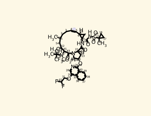 C[C@H]1CC/C=C\[C@@H]2C[C@@]2(C(=O)NS(=O)(=O)C2(C)CC2)NC(=O)[C@@H]2C[C@@H](Oc3ncc(OCC(F)F)c4ccccc34)CN2C(=O)[C@@H](N(C(=O)O)C(C)(C)C(F)(F)F)[C@H](C)C1